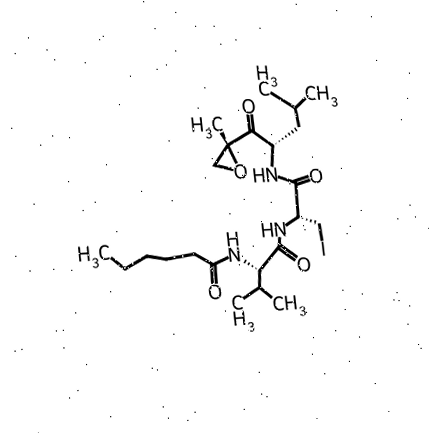 CCCCCC(=O)N[C@H](C(=O)N[C@@H](CI)C(=O)N[C@@H](CC(C)C)C(=O)[C@@]1(C)CO1)C(C)C